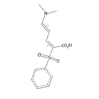 CCOC(=O)/C(=C\C=C\N(C)C)S(=O)(=O)c1ccccc1